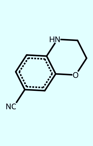 N#Cc1ccc2c(c1)OCCN2